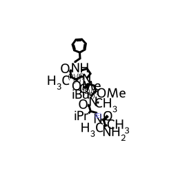 CC[C@H](C)[C@@H]([C@@H](CC(=O)N1CCC[C@H]1[C@H](OC)[C@@H](C)C(=O)NCCC1C=CC=CC=C1)OC)N(C)C(=O)C(/C=N/C(=O)C(C)(C)N)C(C)C